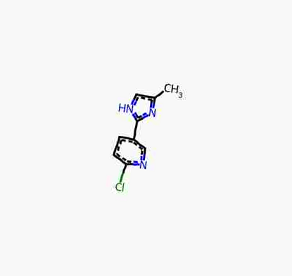 Cc1c[nH]c(-c2ccc(Cl)nc2)n1